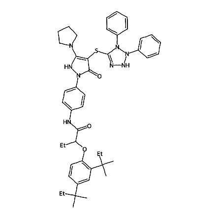 CCC(Oc1ccc(C(C)(C)CC)cc1C(C)(C)CC)C(=O)Nc1ccc(-n2[nH]c(N3CCCC3)c(SC3=NNN(c4ccccc4)N3c3ccccc3)c2=O)cc1